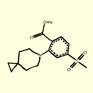 COC(=O)c1ccc(S(C)(=O)=O)cc1N1CCC2(CC1)CC2